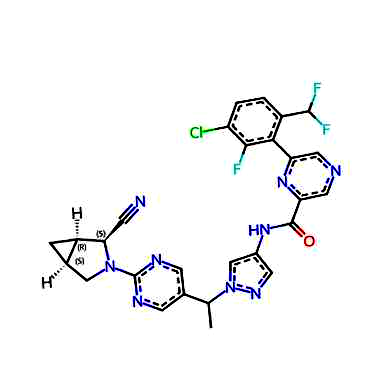 CC(c1cnc(N2C[C@H]3C[C@H]3[C@H]2C#N)nc1)n1cc(NC(=O)c2cncc(-c3c(C(F)F)ccc(Cl)c3F)n2)cn1